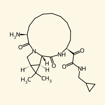 CC1(C)[C@@H]2[C@H]3C(=O)N[C@H](C(=O)C(=O)NCC4CC4)CCCCCCCC[C@H](N)C(=O)N3C[C@@H]21